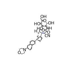 C/C(=C(/C#N)S(=O)(=O)N[C@H]1C(O)O[C@H](CO)[C@@H](O)[C@@H]1O)c1ccc(-c2ccc3cc(N4CCOCC4)ccc3c2)s1